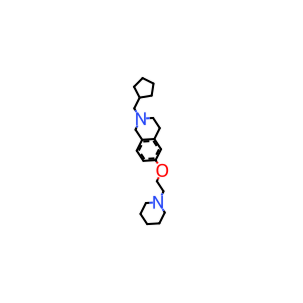 c1cc2c(cc1OCCN1CCCCC1)CCN(CC1CCCC1)C2